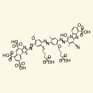 COc1cc(N=Nc2cc(OCCCS(=O)(=O)O)c(N=Nc3c(C)c(C#N)c4nc5c(S(=O)(=O)O)c(OC)ccc5n4c3O)cc2C)c(SCCCS(=O)(=O)O)cc1N=Nc1nc2c(S(=O)(=O)O)cc3c(S(=O)(=O)O)cc(S(=O)(=O)O)cc3c2s1